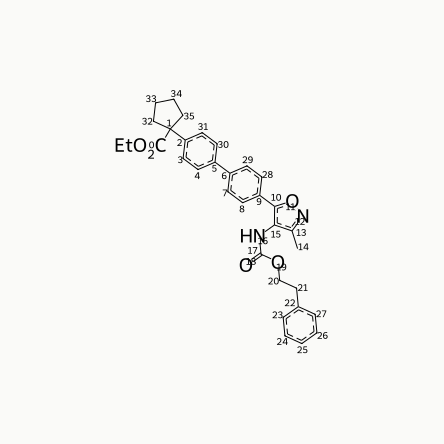 CCOC(=O)C1(c2ccc(-c3ccc(-c4onc(C)c4NC(=O)OCCc4ccccc4)cc3)cc2)CCCC1